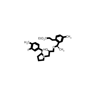 CCOC(=O)CCc1ccc(C)cc1[C@@H](C)OC[C@H](O)CN1CCC[C@H]1Cc1ccc(C)c(F)c1